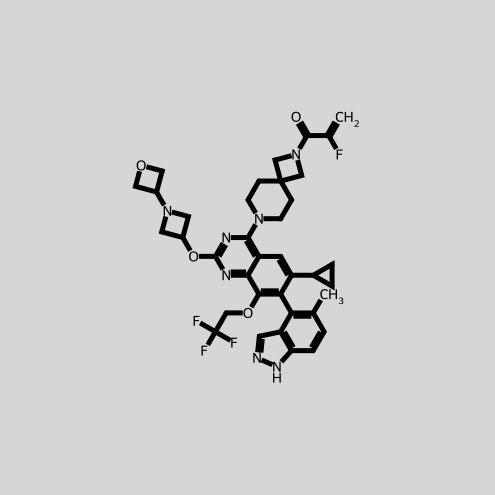 C=C(F)C(=O)N1CC2(CCN(c3nc(OC4CN(C5COC5)C4)nc4c(OCC(F)(F)F)c(-c5c(C)ccc6[nH]ncc56)c(C5CC5)cc34)CC2)C1